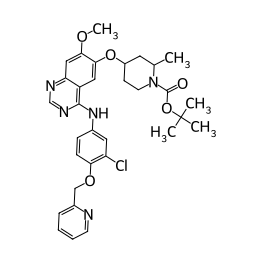 COc1cc2ncnc(Nc3ccc(OCc4ccccn4)c(Cl)c3)c2cc1OC1CCN(C(=O)OC(C)(C)C)C(C)C1